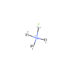 CC[N+](C)(CC)C(C)C.[F-]